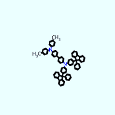 Cc1ccc(N(c2ccc(C)cc2)c2ccc(-c3ccc(N(c4ccc(C5(c6ccccc6)c6ccccc6-c6ccccc65)cc4)c4ccc(C5(c6ccccc6)c6ccccc6-c6ccccc65)cc4)cc3)cc2)cc1